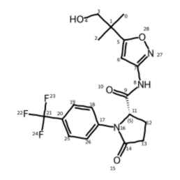 CC(C)(CO)c1cc(NC(=O)[C@@H]2CCC(=O)N2c2ccc(C(F)(F)F)cc2)no1